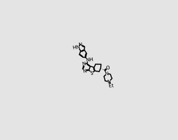 CCN1CCN(C(=O)[C@H]2CCc3c(sc4ncnc(Nc5ccc6[nH]ncc6c5)c34)C2)CC1